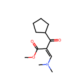 COC(=O)/C(=C\N(C)C)C(=O)C1CCCC1